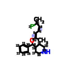 C=C(F)/C=C\C=C(/C)OC(c1ccccc1)C1CCNCC1